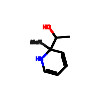 CNC1(C(C)O)C=CC=CN1